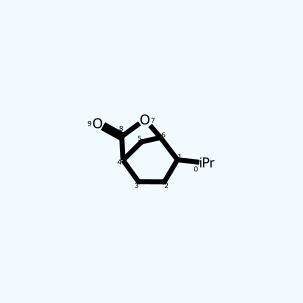 CC(C)C1CCC2CC1OC2=O